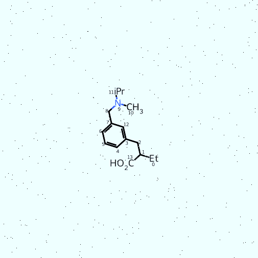 CCC(Cc1cccc(CN(C)C(C)C)c1)C(=O)O